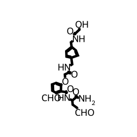 NC(=O)C(CCC=O)NC(=O)c1c(C=O)cccc1OCC(=O)NCc1ccc(CNC(=O)CO)cc1